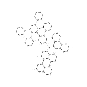 c1ccc(-c2cc(-c3ccccc3)c3c4ccccc4c4cc(N(c5cc6ccccc6c6ccccc56)c5ccc6c7cccc8cccc(c9cccc5c96)c87)ccc4c3c2-c2ccccc2)cc1